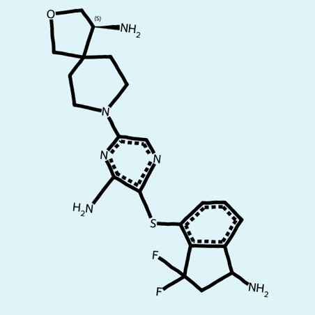 Nc1nc(N2CCC3(CC2)COC[C@H]3N)cnc1Sc1cccc2c1C(F)(F)CC2N